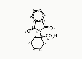 O=C1c2ccccc2C(=O)N1C1(C(=O)O)CCCCC1